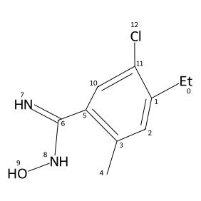 CCc1cc(C)c(C(=N)NO)cc1Cl